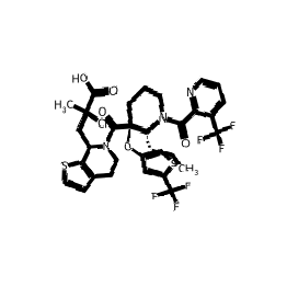 CCC[C@H]1N(C(=O)c2ncccc2C(F)(F)F)CCC[C@@]1(Oc1csc(C(F)(F)F)c1)C(=O)N1CCc2ccsc2C1CC(C)(C)C(=O)O